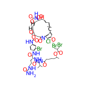 COc1cc2cc(c1Cl)N(C)C(=O)C[C@H](OC(=O)Nc1ccc(NC(=O)[C@H](CCCNC(N)=O)NC(=O)[C@@H](NC(=O)CCCCC(C)OC(=O)C(CBr)CBr)C(C)C)c(Br)c1)[C@]1(C)O[C@H]1[C@H](C)[C@@H]1C[C@@](O)(NC(=O)O1)[C@H](OC)/C=C/C=C(\C)C2